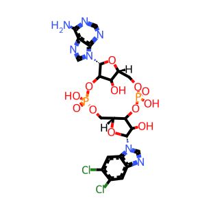 Nc1ncnc2c1ncn2[C@@H]1O[C@@H]2COP(=O)(O)OC3C(O)[C@H](n4cnc5cc(Cl)c(Cl)cc54)O[C@@H]3COP(=O)(O)OC1C2O